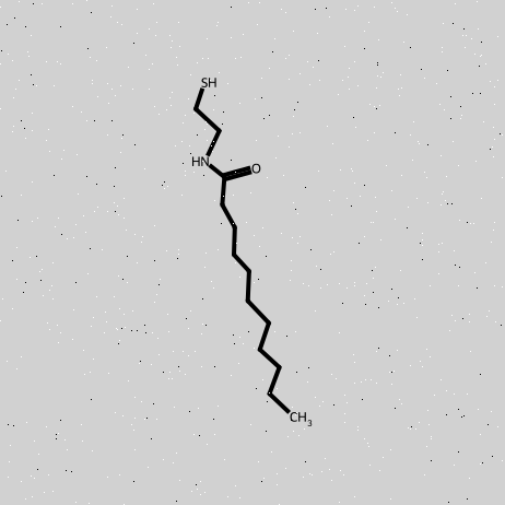 CCCCCCCCCCC(=O)NCCS